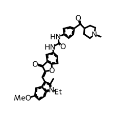 CCn1c(C)c(C=C2Oc3ccc(NC(=O)Nc4ccc(C(=O)C5CCN(C)CC5)cc4)cc3C2=O)c2cc(OC)ccc21